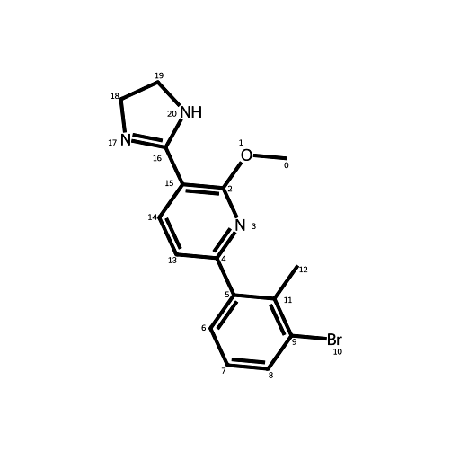 COc1nc(-c2cccc(Br)c2C)ccc1C1=NCCN1